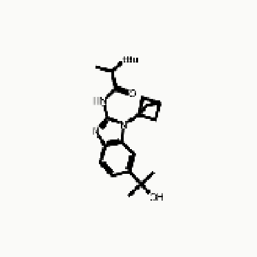 CC(C(=O)Nc1nc2ccc(C(C)(C)O)cc2n1C12CC(C1)C2)C(C)(C)C